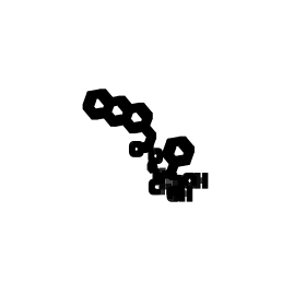 CN(COC(=O)Cc1ccc2cc3ccccc3cc2c1)C(B(O)O)c1ccccc1